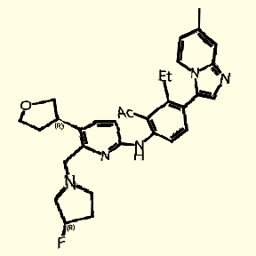 CCc1c(-c2cnc3cc(C)ccn23)ccc(Nc2ccc([C@H]3CCOC3)c(CN3CC[C@@H](F)C3)n2)c1C(C)=O